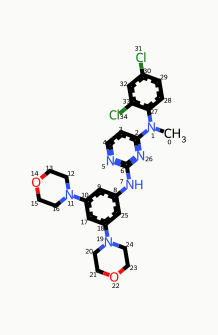 CN(c1ccnc(Nc2cc(N3CCOCC3)cc(N3CCOCC3)c2)n1)c1ccc(Cl)cc1Cl